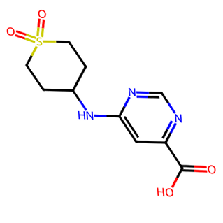 O=C(O)c1cc(NC2CCS(=O)(=O)CC2)ncn1